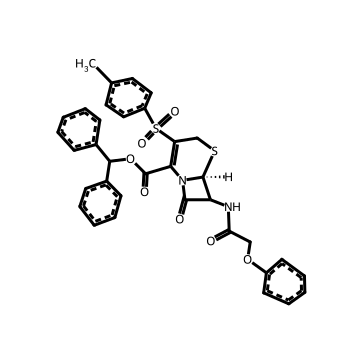 Cc1ccc(S(=O)(=O)C2=C(C(=O)OC(c3ccccc3)c3ccccc3)N3C(=O)C(NC(=O)COc4ccccc4)[C@@H]3SC2)cc1